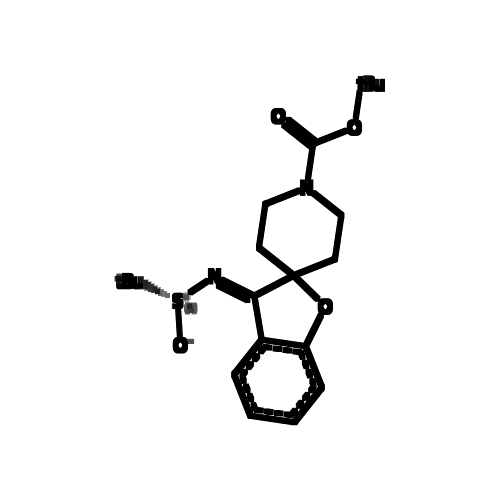 CC(C)(C)OC(=O)N1CCC2(CC1)Oc1ccccc1C2=N[S@+]([O-])C(C)(C)C